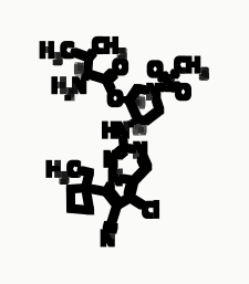 CCC1(c2c(C#N)c(Cl)c3cnc(N[C@H]4CCN(S(C)(=O)=O)C[C@H]4OC(=O)[C@@H](N)C(C)C)nn23)CCC1